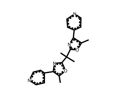 Cc1oc(C(C)(C)c2nc(-c3ccncc3)c(C)o2)nc1-c1ccncc1